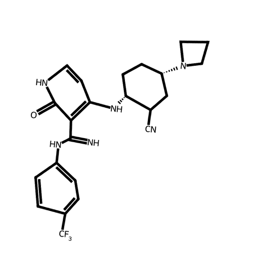 N#CC1C[C@@H](N2CCC2)CC[C@H]1Nc1cc[nH]c(=O)c1C(=N)Nc1ccc(C(F)(F)F)cc1